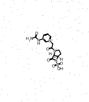 NC(=O)Nc1ccc[n+](CC(=O)N2CC[C@@H]3[C@H]2C(=O)N3S(=O)(=O)O)c1